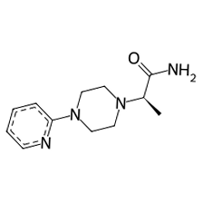 C[C@H](C(N)=O)N1CCN(c2ccccn2)CC1